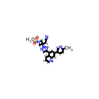 Cc1ccc(-c2cc(-c3cnn(C4(CC#N)CN(S(C)(=O)=O)C4)n3)c3cccnc3c2)cn1